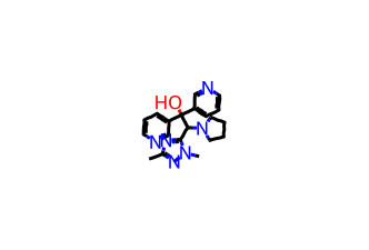 Cc1nc(C(N2CCCC2)C(O)(c2cccnc2)c2cccnc2)n(C)n1